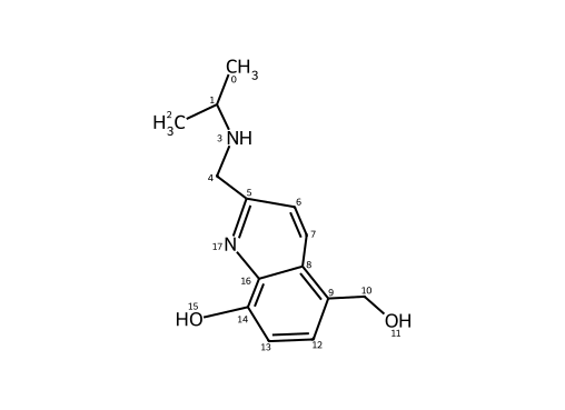 CC(C)NCc1ccc2c(CO)ccc(O)c2n1